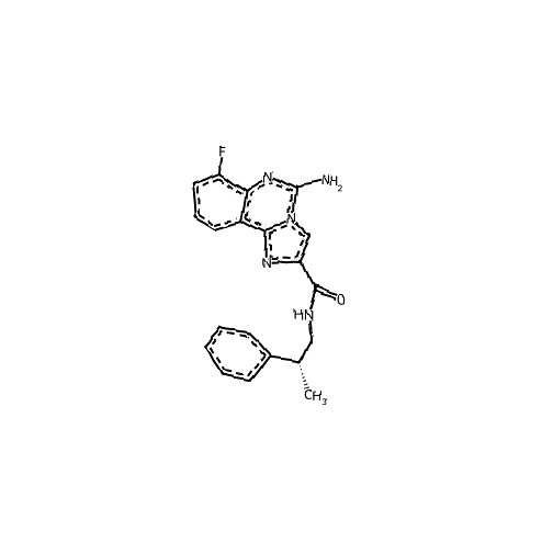 C[C@@H](CNC(=O)c1cn2c(N)nc3c(F)cccc3c2n1)c1ccccc1